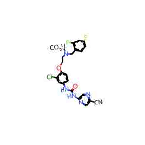 N#Cc1cnc(NC(=O)Nc2ccc(OCCN(Cc3ccc(F)cc3F)C(=O)O)c(Cl)c2)cn1